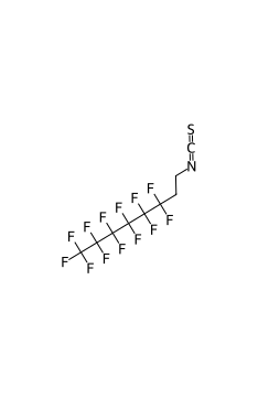 FC(F)(F)C(F)(F)C(F)(F)C(F)(F)C(F)(F)C(F)(F)CCN=C=S